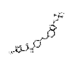 Cc1cc(CC(=O)N[C@H]2CC[C@H](CCN3CCc4sc(OCC(C)(F)F)nc4C3)CC2)sn1